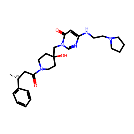 C[C@H](CC(=O)N1CCC(O)(Cn2cnc(NCCN3CCCC3)cc2=O)CC1)c1ccccc1